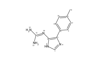 Cc1ccc(-c2nc[nH]c2N=C(N)N)cc1